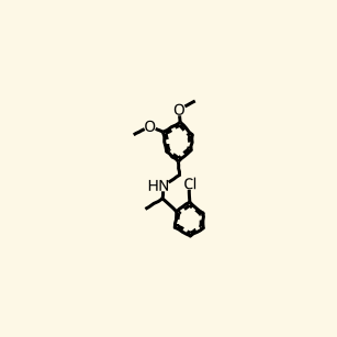 COc1ccc(CNC(C)c2ccccc2Cl)cc1OC